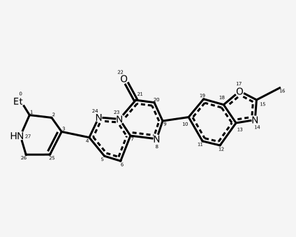 CCC1CC(c2ccc3nc(-c4ccc5nc(C)oc5c4)cc(=O)n3n2)=CCN1